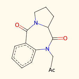 CC(=O)CN1C(=O)C2CCCN2C(=O)c2ccccc21